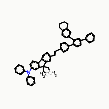 CCC1(CC)c2cc(/C=C/c3ccc(-c4ccc(-c5ccccc5)cc4-c4ccc5c(c4)CCCC5)cc3)ccc2-c2ccc(N(c3ccccc3)c3ccccc3)cc21